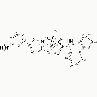 Nc1cccc(C(=O)C[N+]23CCC(CC2)[C@@H](OC(=O)[C@H](Nc2ccccc2)c2ccccc2)C3)c1